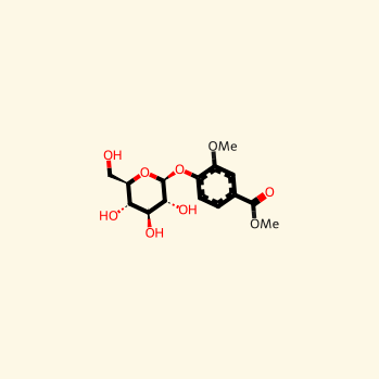 COC(=O)c1ccc(O[C@@H]2O[C@H](CO)[C@@H](O)[C@H](O)[C@H]2O)c(OC)c1